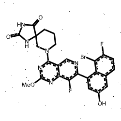 COc1nc(N2CCCC3(C2)NC(=O)NC3=O)c2cnc(-c3cc(O)cc4ccc(F)c(Br)c34)c(F)c2n1